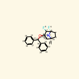 CN1[C@H]2CC[C@]1(F)C(F)[C@H](OC(c1ccccc1)c1ccccc1)C2